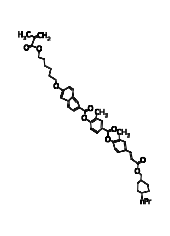 C=C(C)C(=O)OCCCCCCOc1ccc2cc(C(=O)Oc3ccc(C(=O)Oc4ccc(/C=C/C(=O)OCC5CCC(CCC)CC5)cc4C)cc3C)ccc2c1